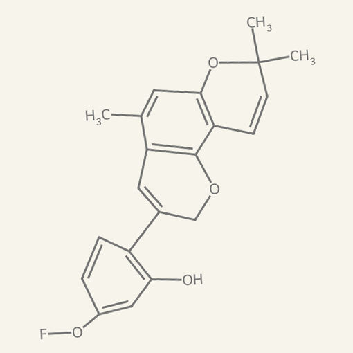 Cc1cc2c(c3c1C=C(c1ccc(OF)cc1O)CO3)C=CC(C)(C)O2